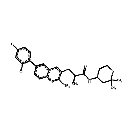 CC(Cc1cc2cc(-c3ccc(F)cc3Cl)ccc2nc1N)C(=O)NC1CCOC(C)(C)C1